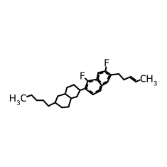 CC=CCCc1cc2ccc(C3CCC4CC(CCCCC)CCC4C3)c(F)c2cc1F